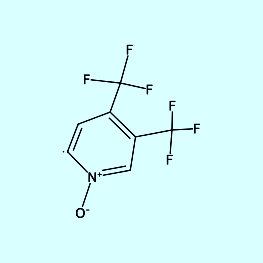 [O-][n+]1[c]cc(C(F)(F)F)c(C(F)(F)F)c1